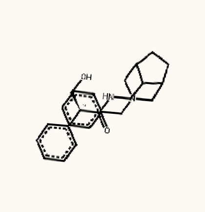 O=C(NCC1C2CCC1CN(Cc1ccccc1)C2)[C@H](CO)c1ccccc1